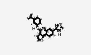 CC(C)c1cccc(Nc2nc3cc(-c4nnn[nH]4)ccc3c3sccc23)c1